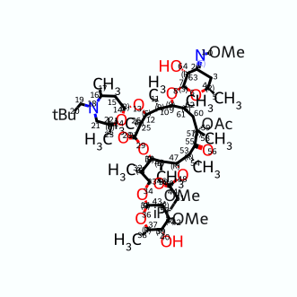 CO/N=C1\C[C@@H](C)O[C@@H](O[C@@H]2[C@@H](C)[C@H](O[C@H]3CC(C)N(CC(C)(C)C)C[C@H](C)O3)[C@@H](C)C(=O)O[C@H]([C@@H](C)CO[C@@H]3O[C@H](C)[C@@H](O)[C@@H](OC)[C@H]3OC)[C@H](C)[C@@H](OC(=O)CC(C)C)[C@@H](C)C(=O)[C@@](C)(OC(C)=O)C[C@@H]2C)[C@@H]1O